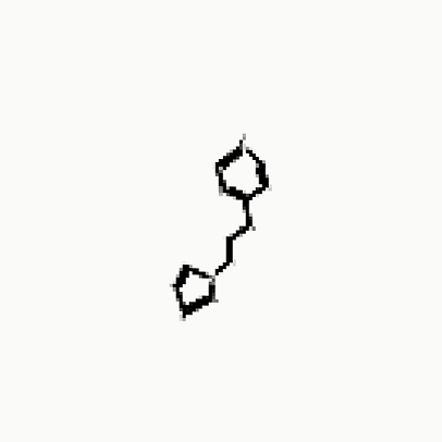 [CH](Cc1ccncc1)Cn1cccc1